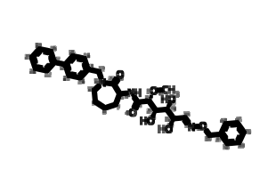 CO[C@@H](C(=O)NC1CCCCN(Cc2ccc(-c3ccccc3)cc2)C1=O)[C@H](O)[C@@H](O)[C@H](O)/C=N/OCc1ccccc1